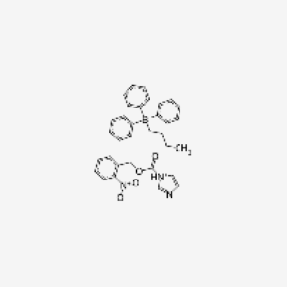 CCCC[B-](c1ccccc1)(c1ccccc1)c1ccccc1.O=C(OCc1ccccc1[N+](=O)[O-])[NH+]1C=CN=C1